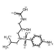 CC(C)CN(CC(O)CNC(=O)O)S(=O)(=O)c1ccc(N)cc1